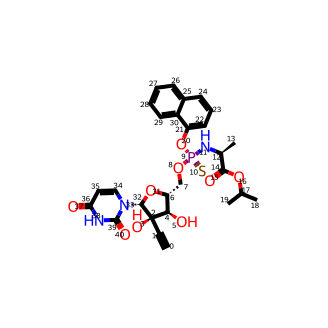 C#C[C@@]1(O)[C@H](O)[C@@H](COP(=S)(N[C@@H](C)C(=O)OC(C)C)Oc2cccc3ccccc23)O[C@H]1n1ccc(=O)[nH]c1=O